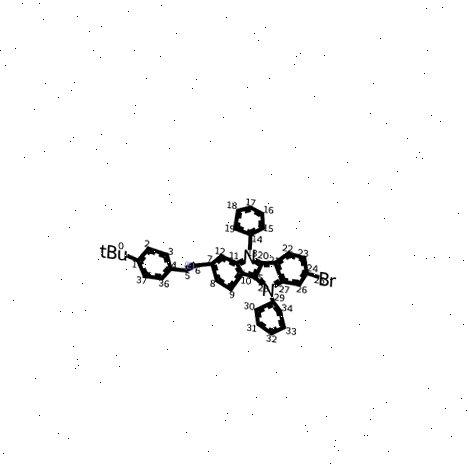 CC(C)(C)c1ccc(/C=C/c2ccc3c(c2)n(-c2ccccc2)c2c4ccc(Br)cc4n(-c4ccccc4)c32)cc1